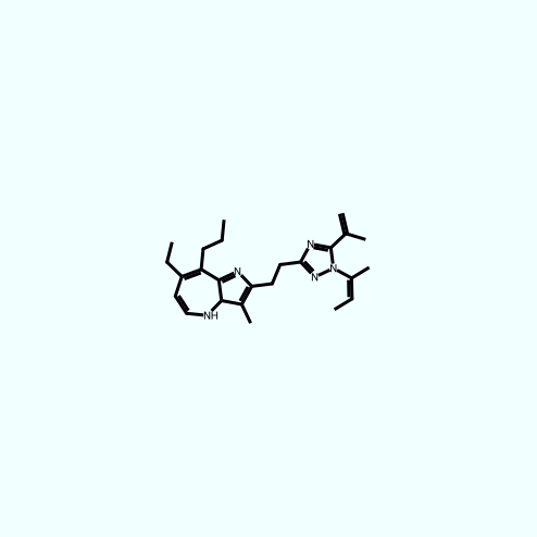 C=C(C)c1nc(CCC2=C(C)C3NC=CC(CC)=C(CCC)C3=N2)nn1/C(C)=C\C